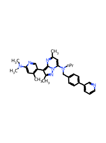 CCCN(Cc1ccc(-c2cccnc2)cc1)c1cc(C)nc2c(-c3cnc(N(C)C)cc3C)c(C)nn12